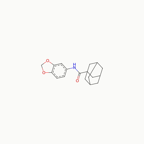 O=C(Nc1ccc2c(c1)OCO2)C12CC3CC(CC(C3)C1)C2